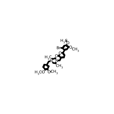 COc1ccc(CN2CC(C)N(Cc3ccc(-c4cc(OC)c(OC)cc4Br)oc3=O)CC2C)cc1OC